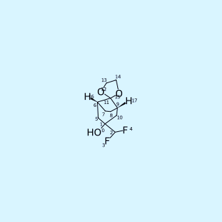 OC1(C(F)F)C[C@H]2CC[C@@H](C1)C21OCCO1